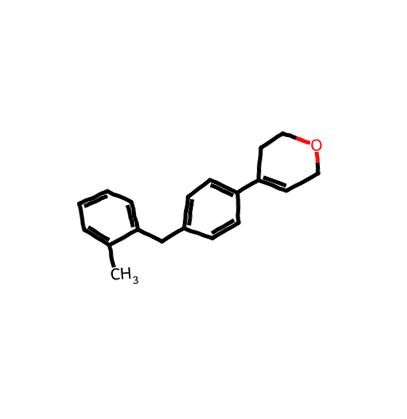 Cc1ccccc1Cc1ccc(C2=CCOCC2)cc1